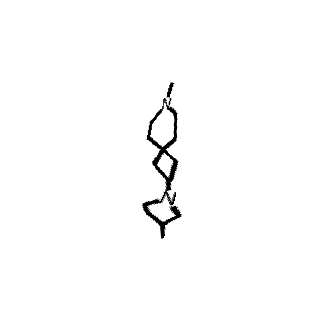 CC1CN(C2CC3(CCN(C)CC3)C2)C1